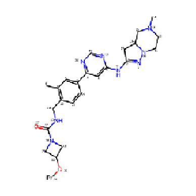 Cc1cc(-c2cc(NC3=NN4CCN(C)CC4C3)ncn2)ccc1CNC(=O)N1CC(OC(C)C)C1